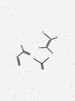 C=C(C)C.C=CC(=C)C.FC(F)=C(F)F